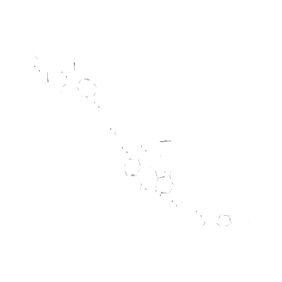 C=CC(=O)Nc1cc(Nc2nc(N3CCCC(N4CCc5c(sc6c5CCC(C)(C)C6)C4=O)C3C(C)O)cn(C)c2=O)ccc1N1CCN(C2CCN(c3ccc4c(c3)C(=O)N(C3CCC(=O)N(C)C3=O)C4=O)CC2)C[C@@H]1C